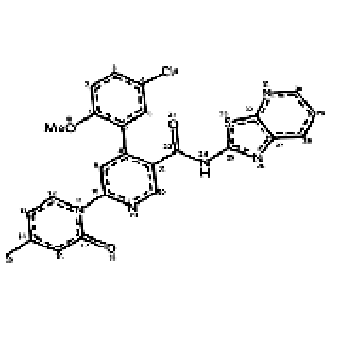 COc1ccc(Cl)cc1-c1cc(-n2ccc(C)cc2=O)ncc1C(=O)Nc1nc2cccnc2s1